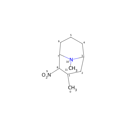 CC1CC2CCCC(C1[N+](=O)[O-])N2C